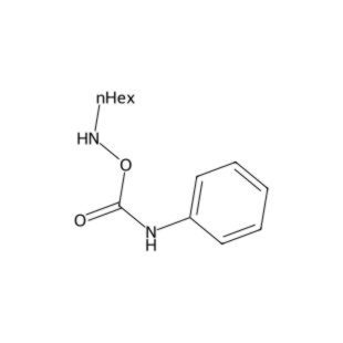 CCCCCCNOC(=O)Nc1ccccc1